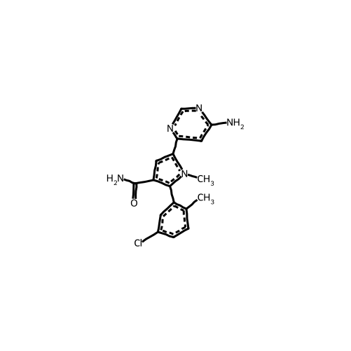 Cc1ccc(Cl)cc1-c1c(C(N)=O)cc(-c2cc(N)ncn2)n1C